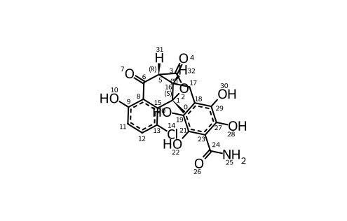 C[C@@]12OC(=O)[C@@H](C(=O)c3c(O)ccc(Cl)c31)[C@@H]2Cc1c(O)c(O)c(C(N)=O)c(O)c1O